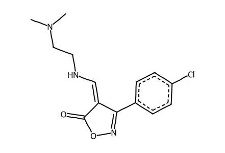 CN(C)CCNC=C1C(=O)ON=C1c1ccc(Cl)cc1